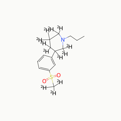 [2H]C1([2H])N(CCC)C([2H])([2H])C([2H])(c2cccc(S(=O)(=O)C([2H])([2H])[2H])c2)C([2H])([2H])C1([2H])[2H]